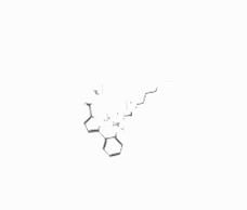 CCCCNC(=O)NS(=O)(=O)c1ccccc1-c1ccc(C(=O)OC)o1